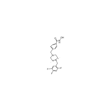 C[C@@H]1CN(Cc2ccc(C(=O)NO)cc2)C[C@H](C)N1Cc1cc(F)c(F)cc1F